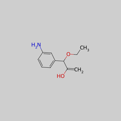 C=C(O)C(OCC)c1cccc(N)c1